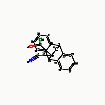 N#CC1(C(=O)Cl)CC2c3ccccc3C1c1ccccc12